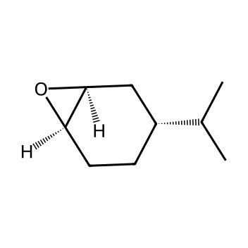 CC(C)[C@@H]1CC[C@H]2O[C@H]2C1